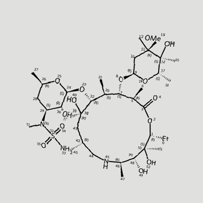 CC[C@H]1OC(=O)[C@H](C)[C@@H](O[C@H]2C[C@@](C)(OC)[C@@](C)(O)[C@H](C)O2)[C@H](C)[C@@H](O[C@@H]2O[C@H](C)C[C@H](N(C)S(N)(=O)=O)[C@H]2O)[C@](C)(O)C[C@@H](C)CN[C@H](C)[C@@H](O)[C@]1(C)O